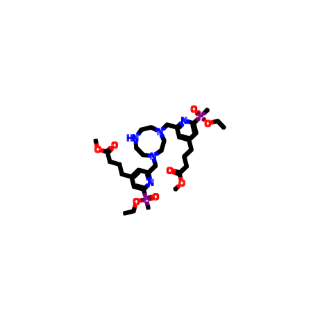 CCOP(C)(=O)c1cc(CCCC(=O)OC)cc(CN2CCNCCN(Cc3cc(CCCC(=O)OC)cc(P(C)(=O)OCC)n3)CC2)n1